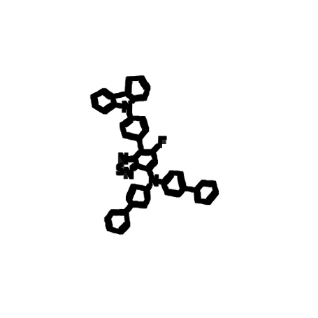 Fc1cc(N(c2ccc(-c3ccccc3)cc2)c2ccc(-c3ccccc3)cc2)c2nsnc2c1-c1ccc(-n2c3ccccc3c3ccccc32)cc1